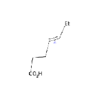 [CH2]C/C=C/CCC(=O)O